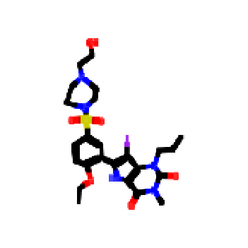 CCCn1c(=O)n(C)c(=O)c2[nH]c(-c3cc(S(=O)(=O)N4CCN(CCO)CC4)ccc3OCC)c(I)c21